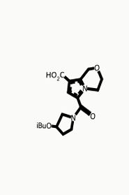 CC(C)COC1CCN(C(=O)c2cc(C(=O)O)c3n2CCOC3)C1